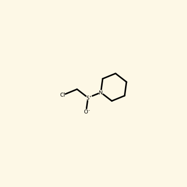 [O-][S+](CCl)N1CCCCC1